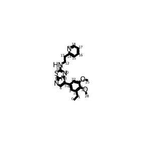 CCc1cc(-c2cnc3sc(NCCc4ccccn4)nn23)cc(OC)c1OC